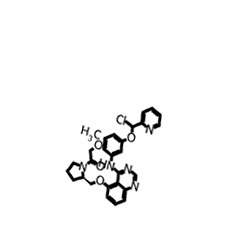 COCC(=O)N1CCC[C@@H]1COc1cccc2ncnc(Nc3cccc(OC(Cl)c4ccccn4)c3)c12